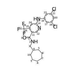 O=C(NCC1CCCCCC1)c1cnc(Nc2cc(Cl)cc(Cl)c2)cc1C(F)(F)F